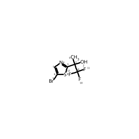 CC(O)(c1ncc(Br)s1)C(F)(F)F